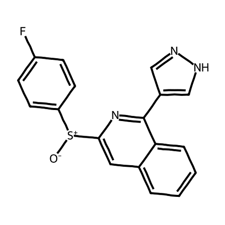 [O-][S+](c1ccc(F)cc1)c1cc2ccccc2c(-c2cn[nH]c2)n1